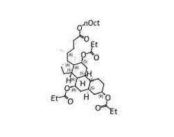 CCCCCCCCOC(=O)CC[C@@H](C)[C@H]1CC[C@H]2[C@@H]3[C@H](OC(=O)CC)C[C@@H]4C[C@H](OC(=O)CC)CC[C@]4(C)[C@H]3C[C@H](OC(=O)CC)[C@]12C